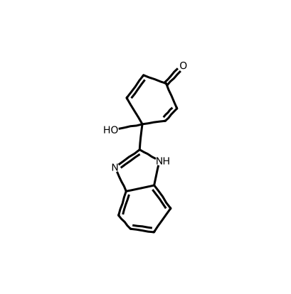 O=C1C=CC(O)(c2nc3ccccc3[nH]2)C=C1